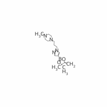 C=C1OB(c2cnn(CCCN3CCN(C)CC3)c2)OC1(C)C